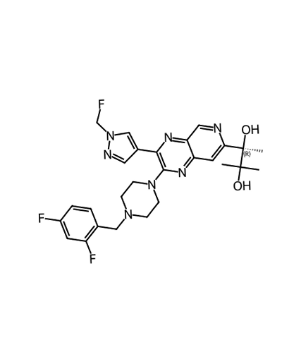 CC(C)(O)[C@](C)(O)c1cc2nc(N3CCN(Cc4ccc(F)cc4F)CC3)c(-c3cnn(CF)c3)nc2cn1